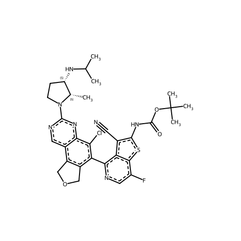 CC(C)N[C@H]1CCN(c2ncc3c4c(c(-c5ncc(F)c6sc(NC(=O)OC(C)(C)C)c(C#N)c56)c(Cl)c3n2)COC4)[C@H]1C